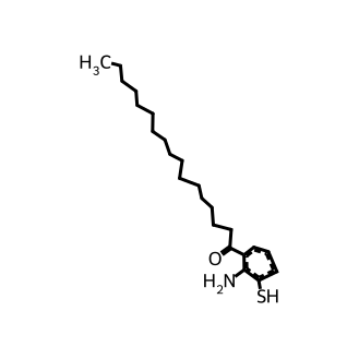 CCCCCCCCCCCCCCCCC(=O)c1cccc(S)c1N